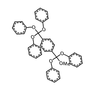 COC(Oc1ccccc1)(Oc1ccccc1)c1ccc(C(Oc2ccccc2)(Oc2ccccc2)Oc2ccccc2)cc1